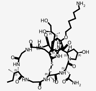 CC[C@H](C)[C@@H]1NC(=O)CNC(=O)[C@H]2Cc3c([nH]c4cc(OCCCCCCN)ccc34)SC[C@H](NC(=O)CNC1=O)C(=O)N[C@@H](CC(N)=O)C(=O)N1C[C@H](O)C[C@H]1C(=O)N[C@@H]([C@@H](C)[C@@H](O)CO)C(=O)N2